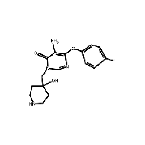 Nc1c(Oc2ccc(F)cc2)ncn(CC2(O)CCNCC2)c1=O